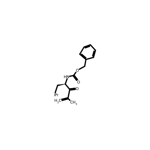 C=C(C)C(=O)[C@@H](CC(C)C)NC(=O)OCc1ccccc1